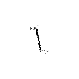 CC/C(O)=C/C/C=C/C/C=C/C/C=C/CCCCC(=O)O